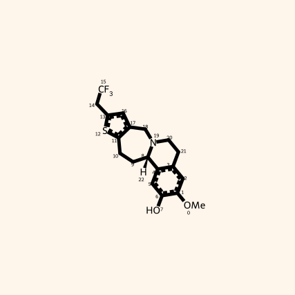 COc1cc2c(cc1O)[C@@H]1CCc3sc(CC(F)(F)F)cc3CN1CC2